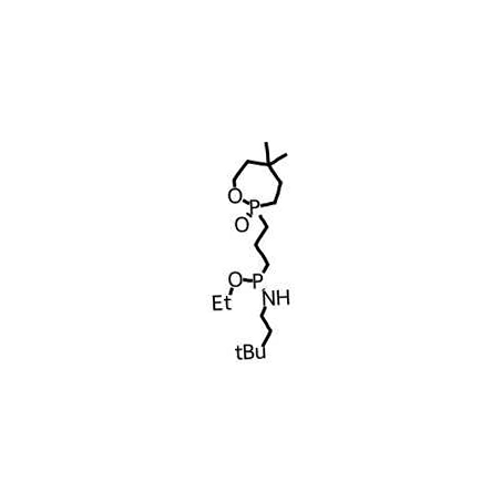 CCOP(CCCP1(=O)CCC(C)(C)CCO1)NCCC(C)(C)C